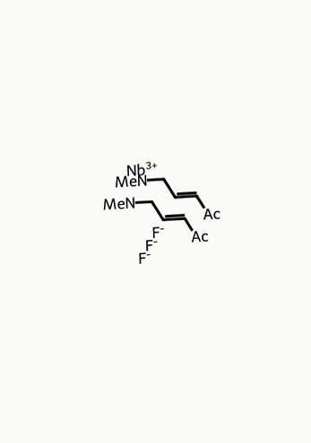 CNCC=CC(C)=O.CNCC=CC(C)=O.[F-].[F-].[F-].[Nb+3]